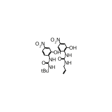 C=CCNC(=O)Nc1ccc([N+](=O)[O-])cc1O.CC(C)(C)NC(=O)Nc1ccc([N+](=O)[O-])cc1O